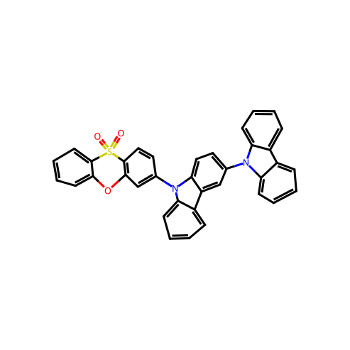 O=S1(=O)c2ccccc2Oc2cc(-n3c4ccccc4c4cc(-n5c6ccccc6c6ccccc65)ccc43)ccc21